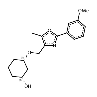 COc1cccc(-c2nc(CO[C@H]3CCC[C@@H](O)C3)c(C)o2)c1